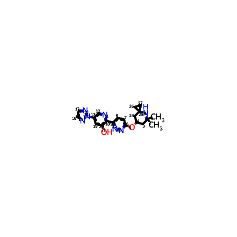 CC1(C)CC(Oc2ccc(-c3ncc(-n4nccn4)cc3O)nn2)CC2(CC2)N1